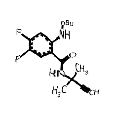 C#CC(C)(C)NC(=O)c1cc(F)c(F)cc1NCCCC